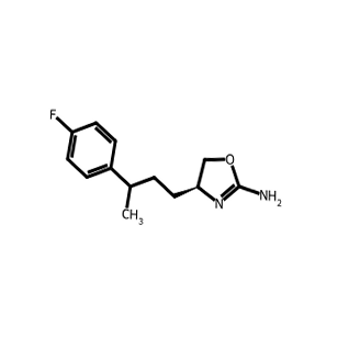 CC(CC[C@H]1COC(N)=N1)c1ccc(F)cc1